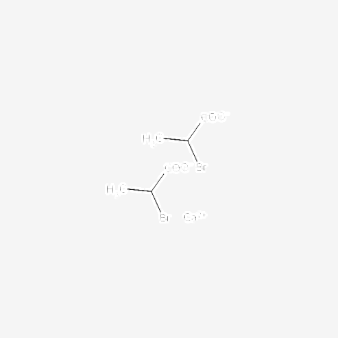 CC(Br)C(=O)[O-].CC(Br)C(=O)[O-].[Ca+2]